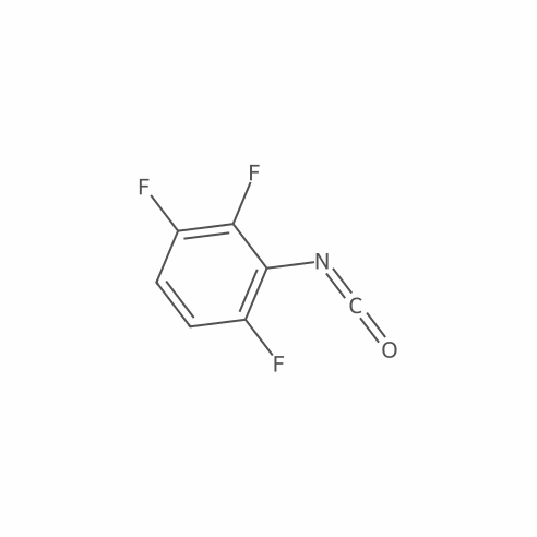 O=C=Nc1c(F)ccc(F)c1F